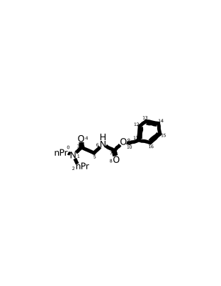 CCCN(CCC)C(=O)CNC(=O)OCc1ccccc1